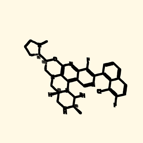 [2H]C1[C@@H](C)NC[C@@H]2CN3C[C@H]([C@@H]4CCCN4C)Oc4nc5c(F)c(-c6cccc7ccc(F)c(Cl)c67)ncc5c(c43)N12